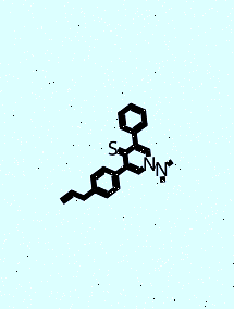 C=CCc1ccc(-c2cn(N(C)C)cc(-c3ccccc3)c2=S)cc1